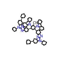 N#Cc1c(-n2c3ccccc3c3ccccc32)c(-c2ccc3nc4n(-c5ccccc5)c5ccc(-c6ccccc6)cc5n4c3c2)cc(-c2ccc3nc4n(-c5ccccc5)c5ccc(-c6ccccc6)cc5n4c3c2)c1-n1c2ccccc2c2ccccc21